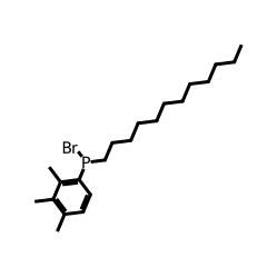 CCCCCCCCCCCCP(Br)c1ccc(C)c(C)c1C